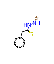 S=C(Cc1ccccc1)NNBr